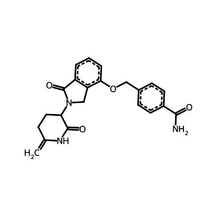 C=C1CCC(N2Cc3c(OCc4ccc(C(N)=O)cc4)cccc3C2=O)C(=O)N1